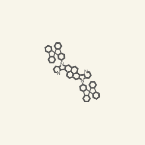 c1ccc2c(c1)-c1ccccc1C21c2ccccc2-c2ccc(-n3c4cccnc4c4c5ccc6cc7c(c8ccc(cc43)c5c68)c3ncccc3n7-c3ccc4c(c3)C3(c5ccccc5-c5ccccc53)c3ccccc3-4)cc21